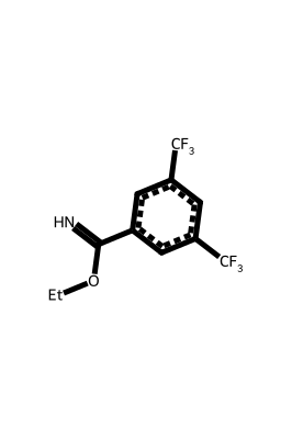 CCOC(=N)c1cc(C(F)(F)F)cc(C(F)(F)F)c1